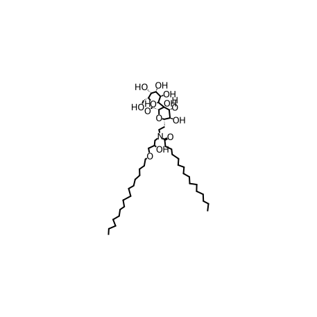 CCCCCCCCCCCCCCCCOCC(O)CN(CC[C@@H]1O[C@H](CO)[C@](O)([C@@H]2O[C@H](CO)[C@H](O)[C@H](O)[C@H]2O)[C@H](O)[C@H]1O)C(=O)CCCCCCCCCCCCCCC